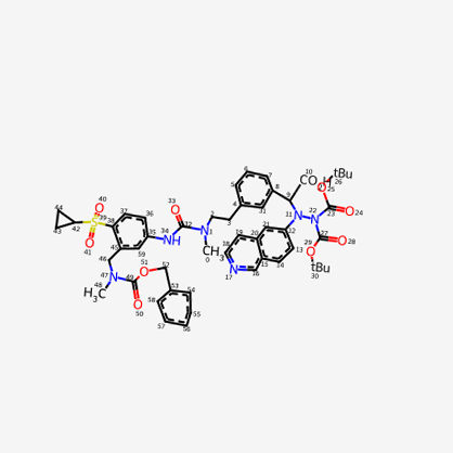 CN(CCc1cccc(C(C(=O)O)N(c2ccc3cnccc3c2)N(C(=O)OC(C)(C)C)C(=O)OC(C)(C)C)c1)C(=O)Nc1ccc(S(=O)(=O)C2CC2)c(CN(C)C(=O)OCc2ccccc2)c1